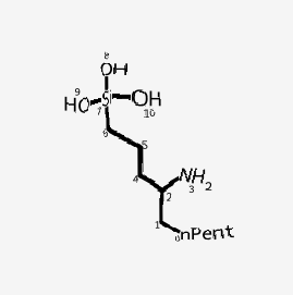 CCCCCCC(N)CCC[Si](O)(O)O